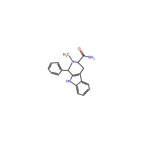 CN1C(C(N)=O)Cc2c([nH]c3cc[c]cc23)C1c1ccccc1